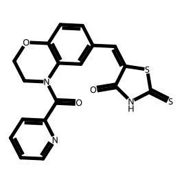 O=C1NC(=S)SC1=Cc1ccc2c(c1)N(C(=O)c1ccccn1)CCO2